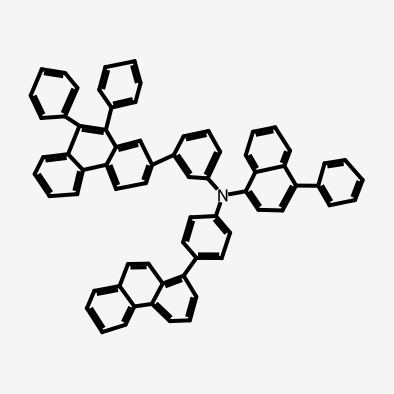 c1ccc(-c2ccc(N(c3ccc(-c4cccc5c4ccc4ccccc45)cc3)c3cccc(-c4ccc5c(c4)c(-c4ccccc4)c(-c4ccccc4)c4ccccc45)c3)c3ccccc23)cc1